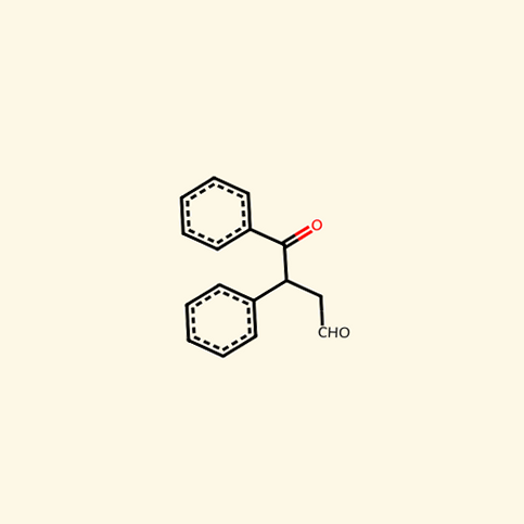 O=CCC(C(=O)c1ccccc1)c1ccccc1